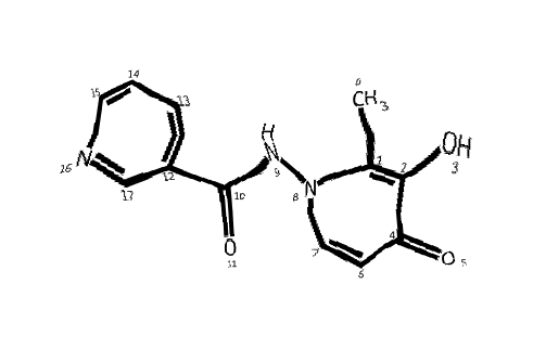 Cc1c(O)c(=O)ccn1NC(=O)c1cccnc1